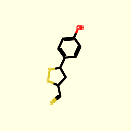 Oc1ccc(C2CC(C=S)SS2)cc1